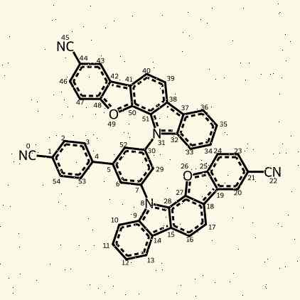 N#Cc1ccc(-c2cc(-n3c4ccccc4c4ccc5c6cc(C#N)ccc6oc5c43)cc(-n3c4ccccc4c4ccc5c6cc(C#N)ccc6oc5c43)c2)cc1